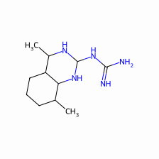 CC1CCCC2C(C)NC(NC(=N)N)NC12